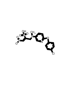 CN(CC(=C[N+](=O)[O-])S(=O)(=O)O)c1ccc(Oc2ccc(Cl)cc2)nc1